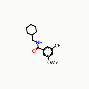 COc1cc(C(=O)NCC2CCCCC2)cc(C(F)(F)F)c1